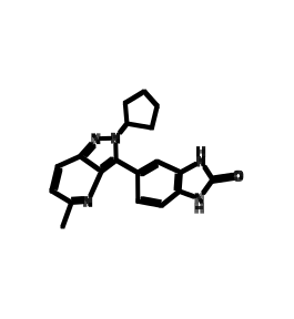 Cc1ccc2nn(C3CCCC3)c(-c3ccc4[nH]c(=O)[nH]c4c3)c2n1